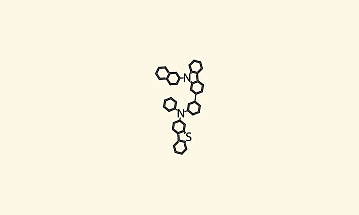 c1ccc(N(c2cccc(-c3ccc4c5ccccc5n(-c5ccc6ccccc6c5)c4c3)c2)c2ccc3c(c2)sc2ccccc23)cc1